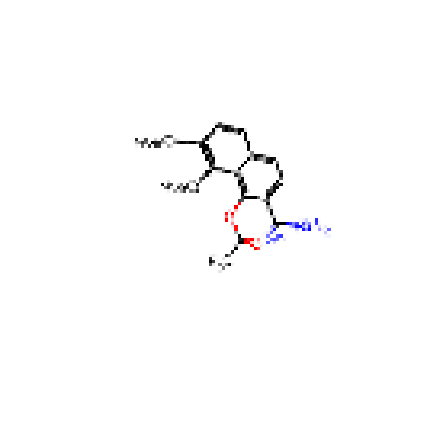 COc1ccc2ccc(C(=N)N)c(OC(=O)C(F)(F)F)c2c1OC